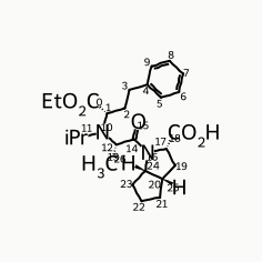 CCOC(=O)[C@H](CCc1ccccc1)N(C(C)C)[C@@H](C)C(=O)N1[C@H](C(=O)O)C[C@@H]2CCC[C@@H]21